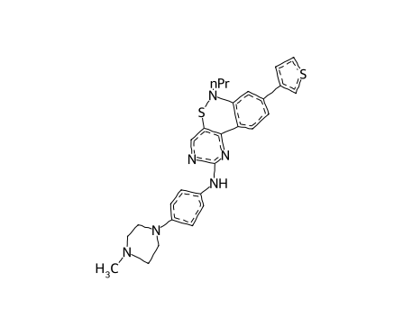 CCCN1Sc2cnc(Nc3ccc(N4CCN(C)CC4)cc3)nc2-c2ccc(-c3ccsc3)cc21